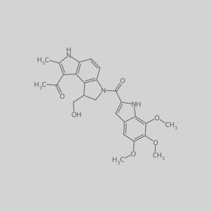 COc1cc2cc(C(=O)N3CC(CO)c4c3ccc3[nH]c(C)c(C(C)=O)c43)[nH]c2c(OC)c1OC